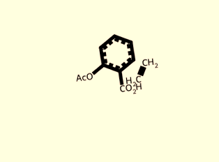 C=C.CC(=O)Oc1ccccc1C(=O)O